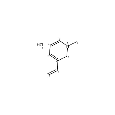 C=CC1=CC=CN(C)C1.Cl